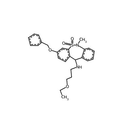 CCOCCCNC1c2ccccc2N(C)S(=O)(=O)c2cc(OCc3ccccc3)ccc21